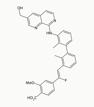 COc1cc(/C(F)=C/c2cccc(-c3cccc(Nc4nccc5cc(CO)cnc45)c3C)c2C)ccc1C(=O)O